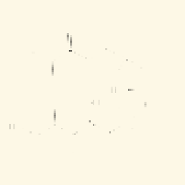 C[Si](C)(CNC(=O)C(O)CO)O[Si](C)(C)O[Si](C)(C)CN(N)C(=O)C(O)CO